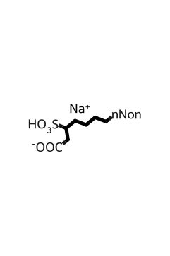 CCCCCCCCCCCCCC(CC(=O)[O-])S(=O)(=O)O.[Na+]